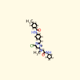 Cc1ccc(C(=O)Nc2ccc(Cc3nc(Cl)[c]c(N(C)CC(=O)NC4CCCC4)n3)cc2)cc1